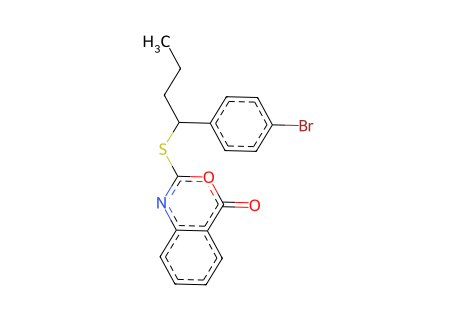 CCCC(Sc1nc2ccccc2c(=O)o1)c1ccc(Br)cc1